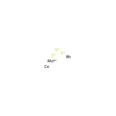 [Ce].[Mo+6].[Rh].[S-2].[S-2].[S-2]